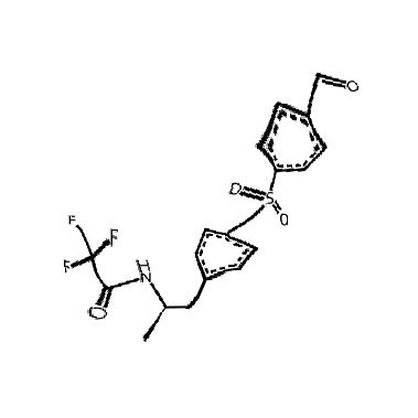 C[C@H](Cc1ccc(S(=O)(=O)c2ccc(C=O)cc2)cc1)NC(=O)C(F)(F)F